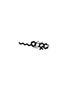 CCCCCCc1ccc(O/C(=C/c2cccnc2)C(O)C(C)(C)C)cc1